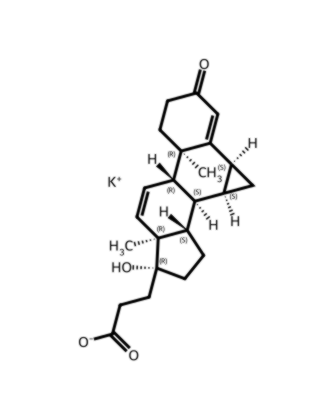 C[C@]12CCC(=O)C=C1[C@H]1C[C@H]1[C@@H]1[C@@H]2C=C[C@@]2(C)[C@H]1CC[C@@]2(O)CCC(=O)[O-].[K+]